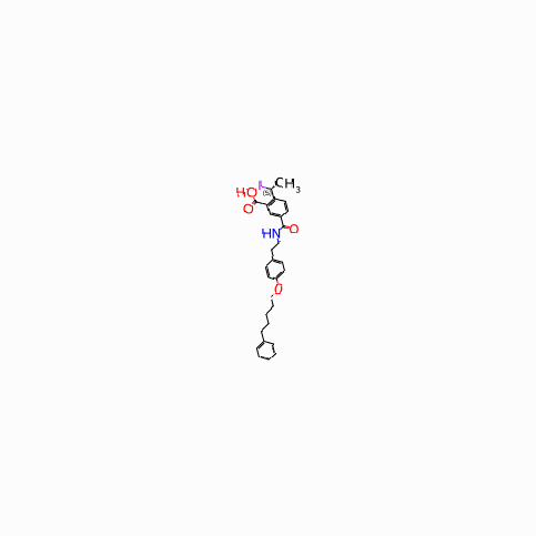 C[C@H](I)c1ccc(C(=O)NCCc2ccc(OCCCCCc3ccccc3)cc2)cc1C(=O)O